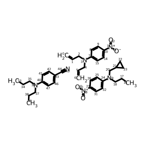 C=CCN(CC=C)c1ccc([N+](=O)[O-])cc1.CCCN(CC1CC1)c1ccc([N+](=O)[O-])cc1.CCCN(CCC)c1ccc(C#N)cc1